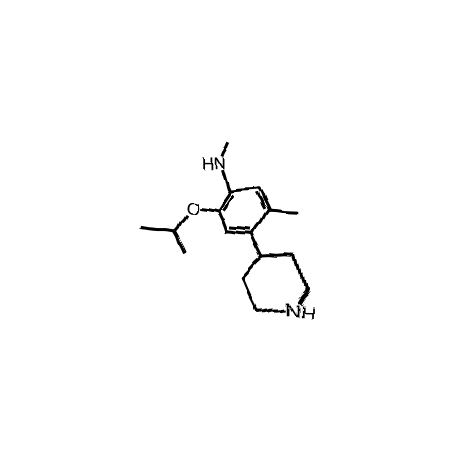 CNc1cc(C)c(C2CCNCC2)cc1OC(C)C